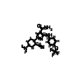 CN(C)C1CCC(n2cc(C(N)=O)c(Nc3ccc(OC(F)(F)F)cc3)n2)C(C#N)C1